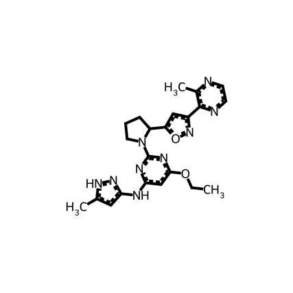 CCOc1cc(Nc2cc(C)[nH]n2)nc(N2CCCC2c2cc(-c3nccnc3C)no2)n1